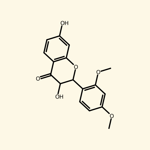 COc1ccc(C2Oc3cc(O)ccc3C(=O)C2O)c(OC)c1